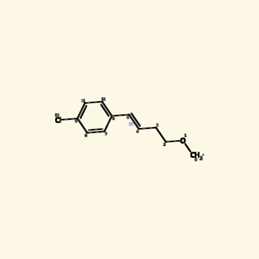 [CH2]OCC/C=C/c1ccc(Cl)cc1